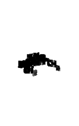 C=CCOc1nc2nc3nc(c2[nH]1)N(C)[PH]3=O